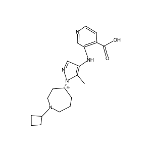 Cc1c(Nc2cnccc2C(=O)O)cnn1[C@@H]1CCCN(C2CCC2)CC1